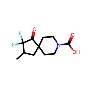 CC1CC2(CCN(C(=O)O)CC2)C(=O)C1(F)F